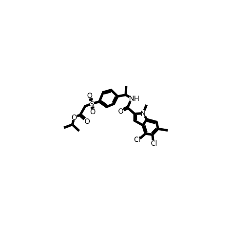 Cc1cc2c(cc(C(=O)NC(C)c3ccc(S(=O)(=O)CC(=O)OC(C)C)cc3)n2C)c(Cl)c1Cl